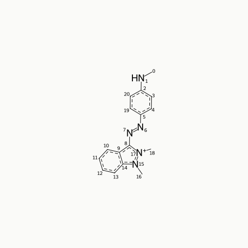 CNc1ccc(N=Nc2c3ccccc3n(C)[n+]2C)cc1